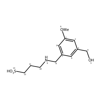 COc1cc(CO)cc(CNCCCS(=O)(=O)O)c1